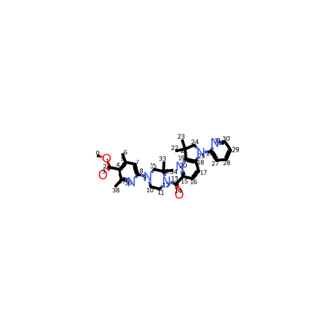 COC(=O)c1c(C)cc(N2CCN(C(=O)c3ccc4c(n3)C(C)(C)CN4c3ccccn3)C(C)(C)C2)nc1C